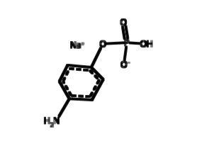 Nc1ccc(OP(=O)([O-])O)cc1.[Na+]